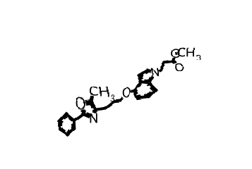 COC(=O)CCn1ccc2c(OCCCc3nc(-c4ccccc4)oc3C)cccc21